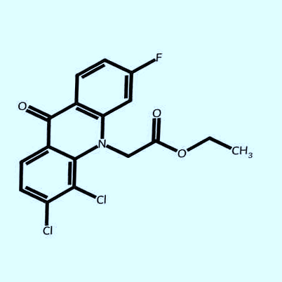 CCOC(=O)Cn1c2cc(F)ccc2c(=O)c2ccc(Cl)c(Cl)c21